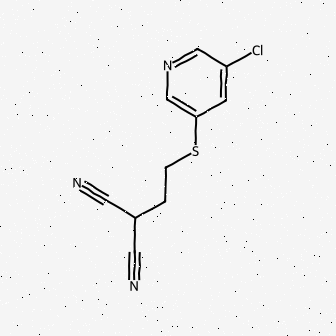 N#CC(C#N)CCSc1cncc(Cl)c1